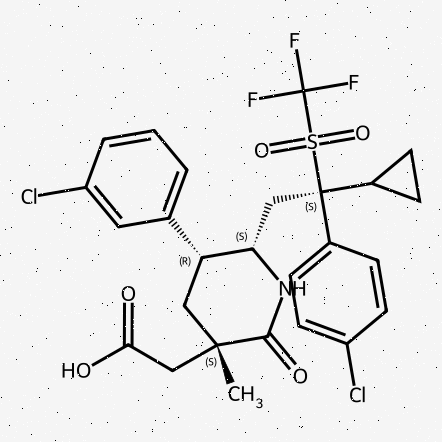 C[C@@]1(CC(=O)O)C[C@H](c2cccc(Cl)c2)[C@H](C[C@@](c2ccc(Cl)cc2)(C2CC2)S(=O)(=O)C(F)(F)F)NC1=O